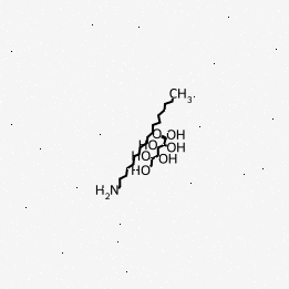 CCCCCCCCCCCCCCCCCCN.O=C(O)C(O)C(O)C(O)C(O)CO